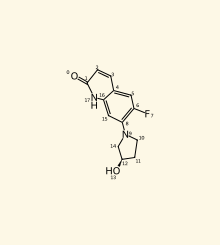 O=c1ccc2cc(F)c(N3CC[C@@H](O)C3)cc2[nH]1